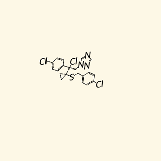 Clc1ccc(CSC2(C(Cl)(Cn3cncn3)c3ccc(Cl)cc3)CC2)cc1